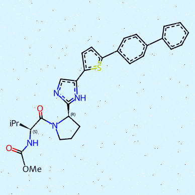 COC(=O)N[C@H](C(=O)N1CCC[C@@H]1c1ncc(-c2ccc(-c3ccc(-c4ccccc4)cc3)s2)[nH]1)C(C)C